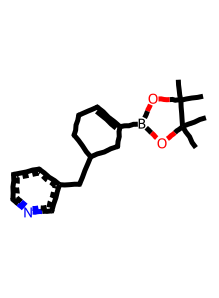 CC1(C)OB(C2=CCCC(Cc3cccnc3)C2)OC1(C)C